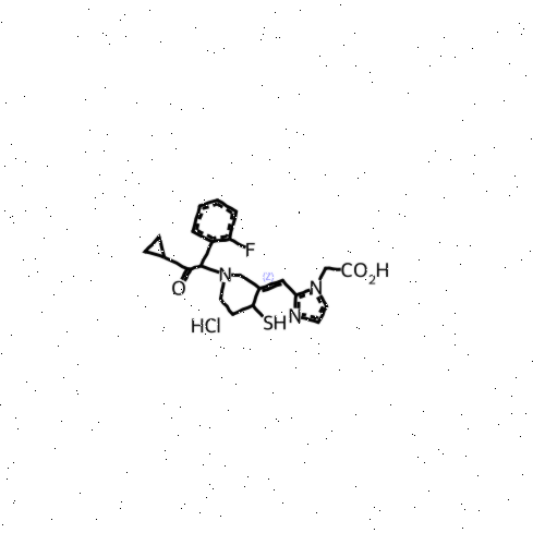 Cl.O=C(O)Cn1ccnc1/C=C1/CN(C(C(=O)C2CC2)c2ccccc2F)CCC1S